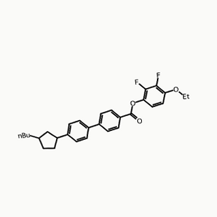 CCCCC1CCC(c2ccc(-c3ccc(C(=O)Oc4ccc(OCC)c(F)c4F)cc3)cc2)C1